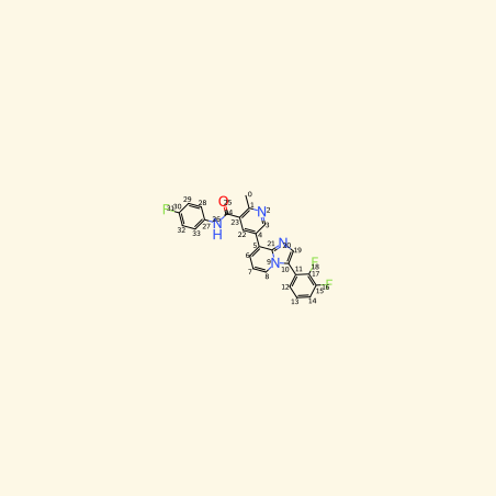 Cc1ncc(-c2cccn3c(-c4cccc(F)c4F)cnc23)cc1C(=O)Nc1ccc(F)cc1